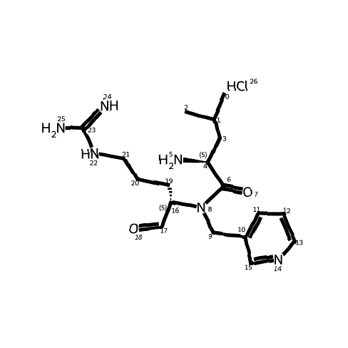 CC(C)C[C@H](N)C(=O)N(Cc1cccnc1)[C@H](C=O)CCCNC(=N)N.Cl